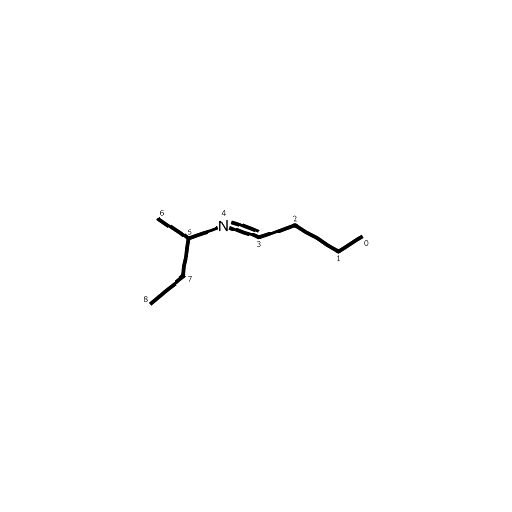 CCCC=NC(C)CC